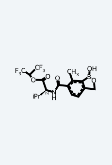 Cc1c(C(=O)N[C@H](C(=O)OC(C(F)(F)F)C(F)(F)F)C(C)C)ccc2c1B(O)OC2